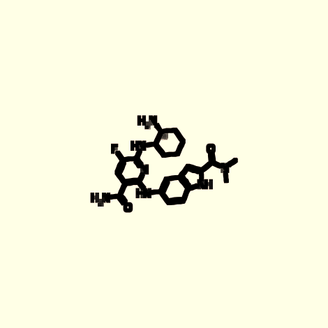 CN(C)C(=O)c1cc2cc(Nc3nc(NC4CCCC[C@@H]4N)c(F)cc3C(N)=O)ccc2[nH]1